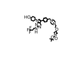 CC(C)(C)OC(=O)N1CC(OCCN2CCN(Cc3ccc(-c4cn([C@H]5CC[C@H](O)CC5)c5nc(NCCC(F)(F)F)ncc45)cc3)CC2)C1